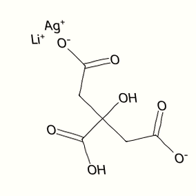 O=C([O-])CC(O)(CC(=O)[O-])C(=O)O.[Ag+].[Li+]